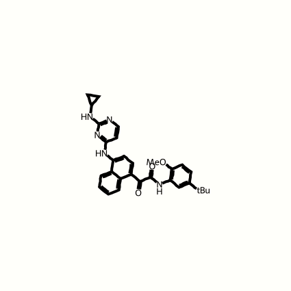 COc1ccc(C(C)(C)C)cc1NC(=O)C(=O)c1ccc(Nc2ccnc(NC3CC3)n2)c2ccccc12